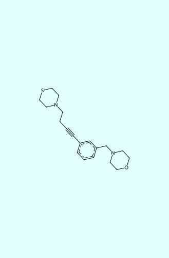 C(#Cc1cccc(CN2CCOCC2)c1)CCN1CCSCC1